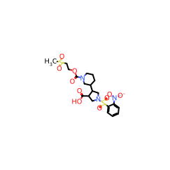 CS(=O)(=O)CCOC(=O)N1CCCC(C2CN(S(=O)(=O)c3ccccc3[N+](=O)[O-])CC2C(=O)O)C1